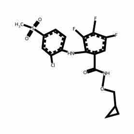 CS(=O)(=O)c1ccc(Nc2c(C(=O)NOCC3CC3)cc(F)c(F)c2F)c(Cl)c1